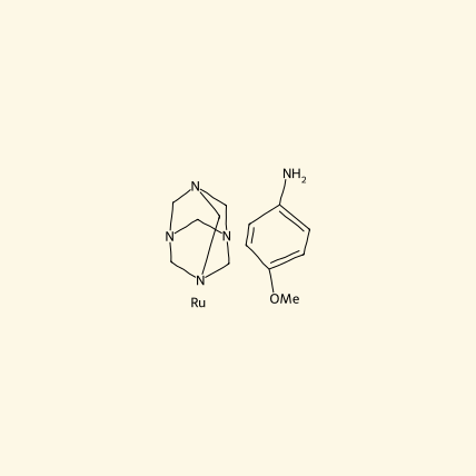 C1N2CN3CN1CN(C2)C3.COc1ccc(N)cc1.[Ru]